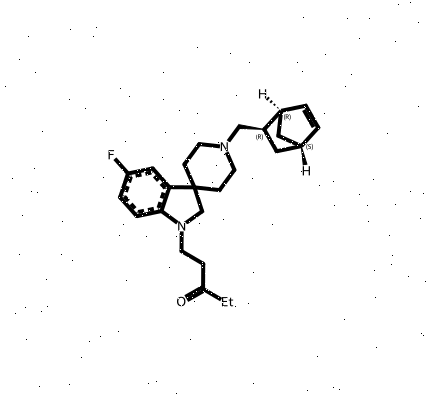 CCC(=O)CCN1CC2(CCN(C[C@@H]3C[C@H]4C=C[C@H]3C4)CC2)c2cc(F)ccc21